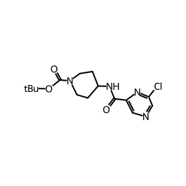 CC(C)(C)OC(=O)N1CCC(NC(=O)c2cncc(Cl)n2)CC1